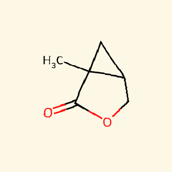 CC12CC1COC2=O